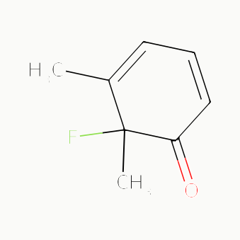 CC1=CC=CC(=O)C1(C)F